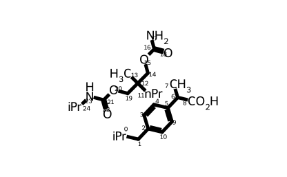 CC(C)Cc1ccc(C(C)C(=O)O)cc1.CCCC(C)(COC(N)=O)COC(=O)NC(C)C